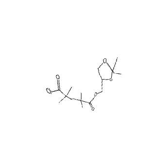 CC1(C)OCC(COC(=O)C(C)(C)CC(C)(C)C(=O)Cl)O1